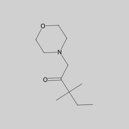 CCC(C)(C)C(=O)CN1CCOCC1